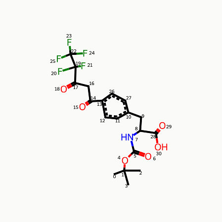 CC(C)(C)OC(=O)NC(Cc1ccc(C(=O)CC(=O)C(F)(F)C(F)(F)F)cc1)C(=O)O